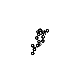 c1ccc(-c2ccc(-c3nc(-c4ccccc4)nc(-c4cccc5oc6cc(-c7cccc(-c8ccc9oc%10ccc(-n%11c%12ccccc%12c%12cc(-c%13ccccc%13)ccc%12%11)cc%10c9c8)c7)ccc6c45)n3)cc2)cc1